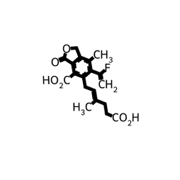 C=C(F)c1c(C)c2c(c(C(=O)O)c1C/C=C(\C)CCC(=O)O)C(=O)OC2